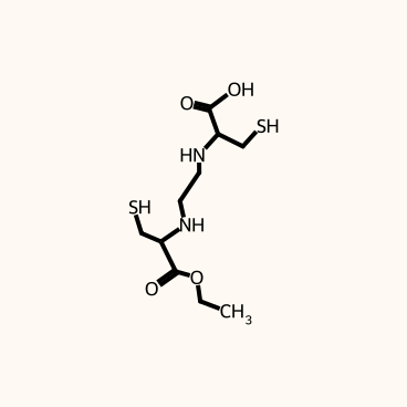 CCOC(=O)C(CS)NCCNC(CS)C(=O)O